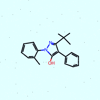 Cc1ccccc1-n1nc(C(C)(C)C)c(-c2ccccc2)c1O